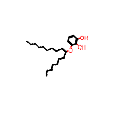 CCCCCCCCCC(CCCCCCC)Oc1cccc(O)c1O